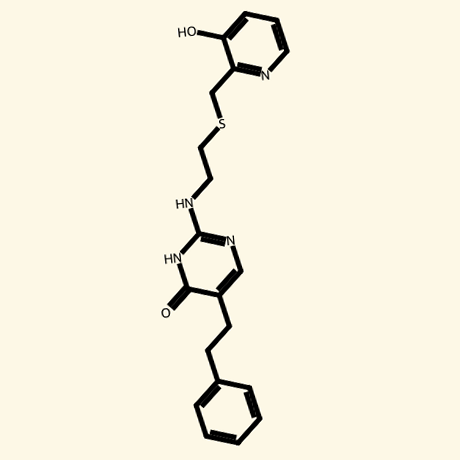 O=c1[nH]c(NCCSCc2ncccc2O)ncc1CCc1ccccc1